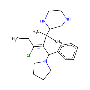 CC/C(Cl)=C(/C(c1ccccc1)N1CCCC1)C(C)(C)C1CNCCN1